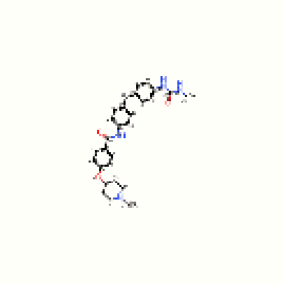 CCCCN1CCC(Oc2ccc(C(=O)Nc3ccc(Cc4ccc(NC(=O)NC(C)C)cc4)cc3)cc2)CC1